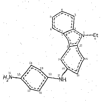 CCn1c2ccccc2c2cc(Nc3ccc(N)cc3)ccc21